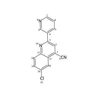 N#Cc1cc(-c2cccnc2)nc2ccc(Cl)cc12